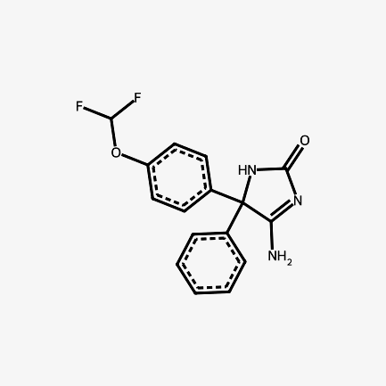 NC1=NC(=O)NC1(c1ccccc1)c1ccc(OC(F)F)cc1